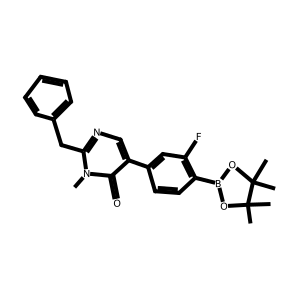 Cn1c(Cc2ccccc2)ncc(-c2ccc(B3OC(C)(C)C(C)(C)O3)c(F)c2)c1=O